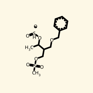 CC(O[SH](=O)=O)C(COCc1ccccc1)COS(C)(=O)=O